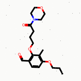 CCCOc1ccc(C=O)c(OCCCC(=O)N2CCOCC2)c1C